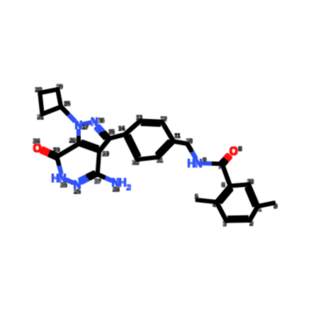 Cc1ccc(C)c(C(=O)NCc2ccc(-c3nn(C4CCC4)c4c(=O)[nH]nc(N)c34)cc2)c1